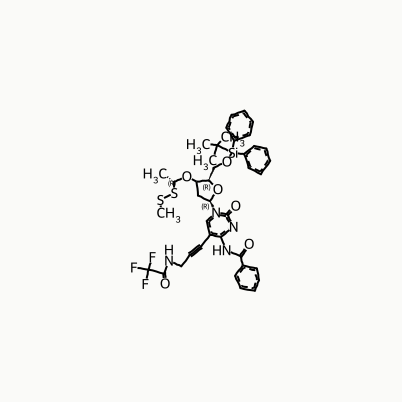 CSS[C@H](C)OC1C[C@H](n2cc(C#CCNC(=O)C(F)(F)F)c(NC(=O)c3ccccc3)nc2=O)O[C@@H]1CO[Si](c1ccccc1)(c1ccccc1)C(C)(C)C